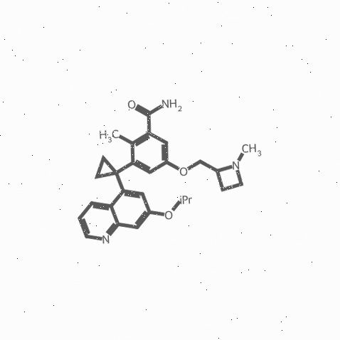 Cc1c(C(N)=O)cc(OCC2CCN2C)cc1C1(c2cc(OC(C)C)cc3ncccc23)CC1